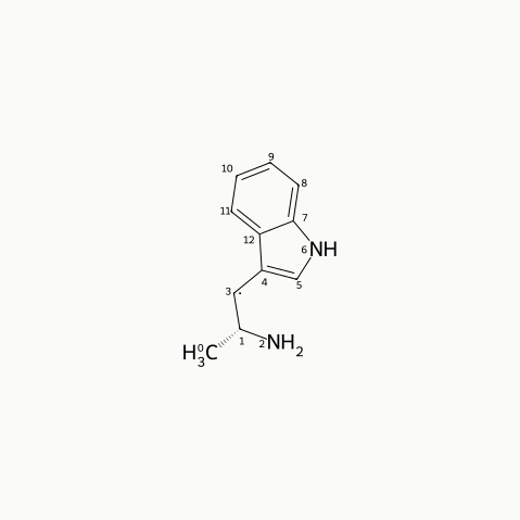 C[C@@H](N)[CH]c1c[nH]c2ccccc12